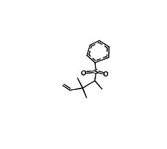 C=CC(C)(C)C(C)S(=O)(=O)c1ccccc1